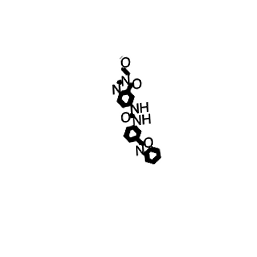 COCCn1cnc2ccc(NC(=O)Nc3cccc(-c4nc5ccccc5o4)c3)cc2c1=O